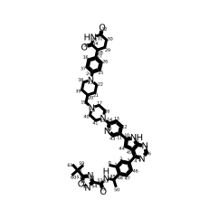 Cc1cc(-c2ncnc3[nH]c(-c4ccc(N5CCN(CC6CCN(c7ccc(C8CCC(=O)NC8=O)cc7)CC6)CC5)nc4)cc23)ccc1C(C)NC(=O)c1noc(C(C)(C)C)n1